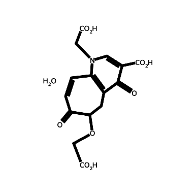 O.O=C(O)COC1Cc2c(n(CC(=O)O)cc(C(=O)O)c2=O)C=CC1=O